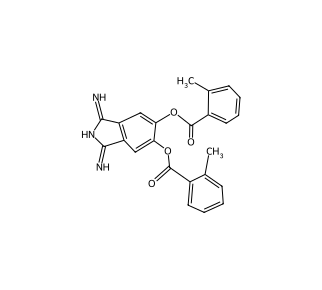 Cc1ccccc1C(=O)Oc1cc2c(cc1OC(=O)c1ccccc1C)C(=N)NC2=N